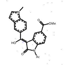 COC(=O)c1ccc2c(c1)/C(=C(/O)c1ccc3c(ccn3C)c1)C(=O)N2C(C)=O